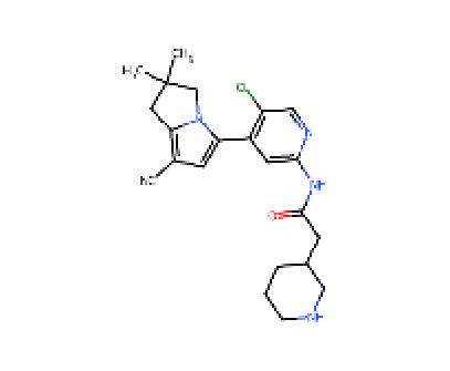 CC1(C)Cc2c(C#N)cc(-c3cc(NC(=O)CC4CCCNC4)ncc3Cl)n2C1